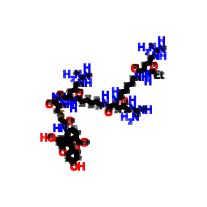 CCC(=O)NC(CCCNC(=N)N)C(=O)NCCCCCC(=O)NC(CCCNC(=N)N)C(=O)NCCCCCC(=O)NC(CCCNC(=N)N)C(=O)NC(CSCC(=O)Nc1ccc2c(c1)C1(OC2=O)c2ccc(O)cc2Oc2cc(O)ccc21)C(N)=O